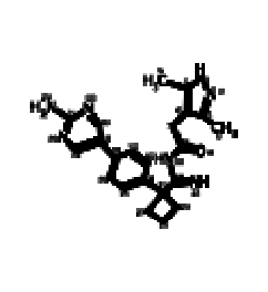 Cc1n[nH]c(C)c1CC(=O)NC(=N)C1(c2ccc(-c3cnc(N)nc3)cc2)CCC1